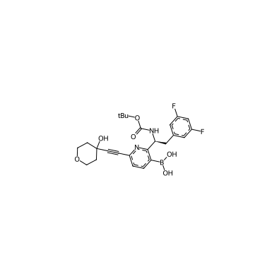 CC(C)(C)OC(=O)N[C@@H](Cc1cc(F)cc(F)c1)c1nc(C#CC2(O)CCOCC2)ccc1B(O)O